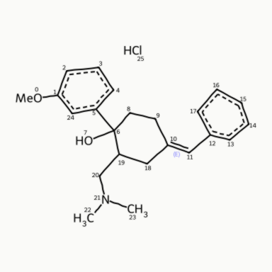 COc1cccc(C2(O)CC/C(=C\c3ccccc3)CC2CN(C)C)c1.Cl